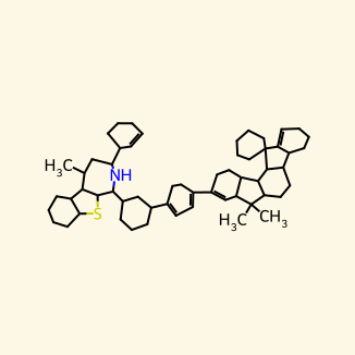 CC1CC(C2C=CCCC2)NC(C2CCCC(C3=CC=C(C4=CC5C(CC4)C4C6C(CCC4C5(C)C)C4CCCC=C4C64CCCCC4)CC3)C2)C2SC3CCCCC3C12